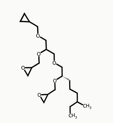 CCC(C)CCC[C@@H](COCC(COCC1CC1)OCC1CO1)OCC1CO1